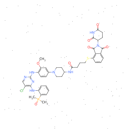 COc1cc(N2CCC(NC(=O)CCCSc3cccc4c3C(=O)N(C3CCC(=O)NC3=O)C4=O)CC2)ccc1Nc1ncc(Cl)c(Nc2ccccc2P(C)(C)=O)n1